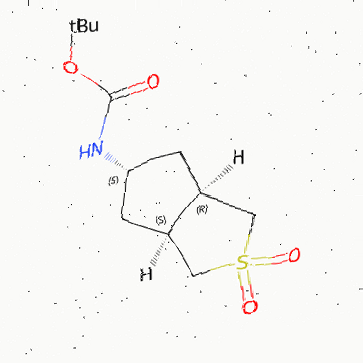 CC(C)(C)OC(=O)N[C@H]1C[C@@H]2CS(=O)(=O)C[C@@H]2C1